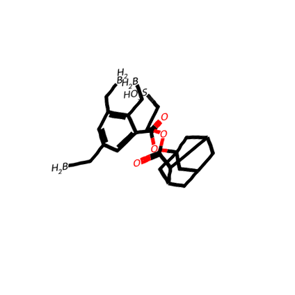 BCc1cc(CB)c(CB)c(C(=O)OC23CC4CC(C2)C(C(=O)OCCS(=O)(=O)O)C(C4)C3)c1